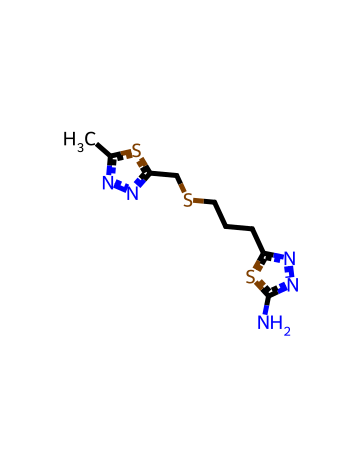 Cc1nnc(CSCCCc2nnc(N)s2)s1